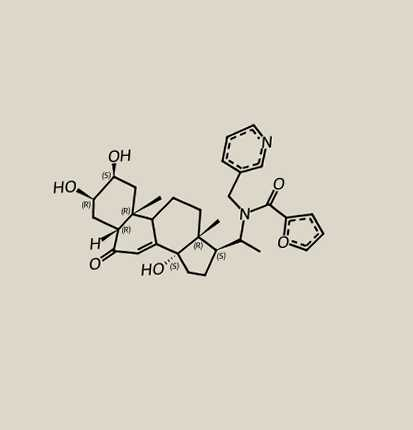 CC([C@H]1CC[C@@]2(O)C3=CC(=O)[C@@H]4C[C@@H](O)[C@@H](O)C[C@]4(C)C3CC[C@]12C)N(Cc1cccnc1)C(=O)c1ccco1